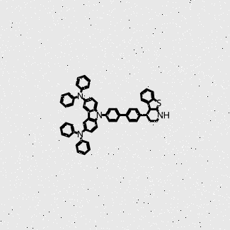 c1ccc(N(c2ccccc2)c2ccc3c(c2)c2cc(N(c4ccccc4)c4ccccc4)ccc2n3-c2ccc(-c3ccc(C4CCNC5Sc6ccccc6C54)cc3)cc2)cc1